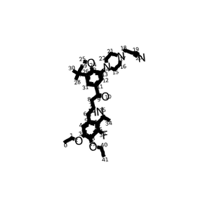 CCOc1cc(CCCC(=O)c2cc(N3CCN(CC#N)CC3)c(OC)c(C(C)(C)C)c2)c(C(C)=N)c(F)c1OCC